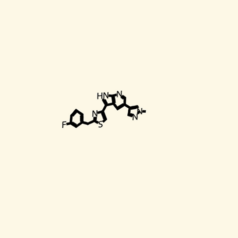 Cn1cc(-c2cnc3[nH]cc(-c4csc(Cc5cccc(F)c5)n4)c3c2)cn1